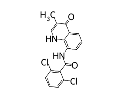 Cc1c[nH]c2c(NC(=O)c3c(Cl)cccc3Cl)cccc2c1=O